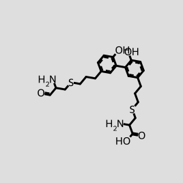 NC(C=O)CSCCCc1ccc(O)c(-c2cc(CCCSCC(N)C(=O)O)ccc2O)c1